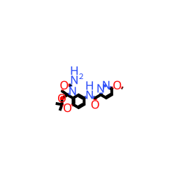 COc1ccc(C(=O)Nc2ccc3c(c2)C2(COC(N)=N2)C2(COC2)C(C)(C)O3)nn1